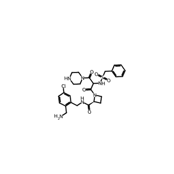 NCc1ccc(Cl)cc1CNC(=O)[C@@H]1CCN1C(=O)C(NS(=O)(=O)Cc1ccccc1)C(=O)N1CCNCC1